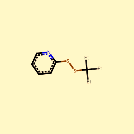 CCC(CC)(CC)SSc1ccccn1